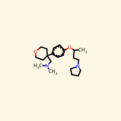 CC(CCN1CCCC1)Oc1ccc(C2(CN(C)C)CCOCC2)cc1